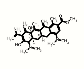 C=C(N)C1=C(O)C(N(C)C)[C@@H]2C[C@@H]3Cc4c(N(C)C)cc(C(=O)OC)c(C)c4C(=C)C3=C(C)[C@]2(O)C1=C